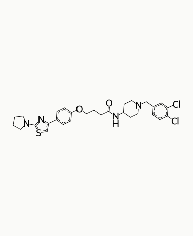 O=C(CCCOc1ccc(-c2csc(N3CCCC3)n2)cc1)NC1CCN(Cc2ccc(Cl)c(Cl)c2)CC1